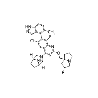 Cc1ccc2[nH]ncc2c1-c1c(Cl)cc2c(N3C[C@H]4CC[C@@H](C3)N4)nc(OC[C@@]34CCCN3C[C@H](F)C4)nc2c1F